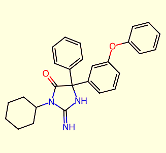 N=C1NC(c2ccccc2)(c2cccc(Oc3ccccc3)c2)C(=O)N1C1CCCCC1